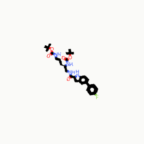 CC(C)(C)OC(=O)NCCC[C@H](CNC(=O)C1Cc2cc(-c3ccc(F)cc3)ccc2N1)NC(=O)OC(C)(C)C